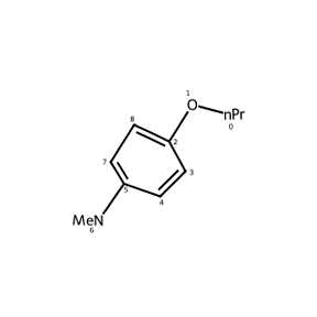 CCCOc1ccc(NC)cc1